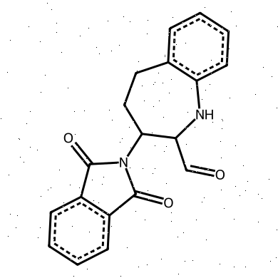 O=CC1Nc2ccccc2CCC1N1C(=O)c2ccccc2C1=O